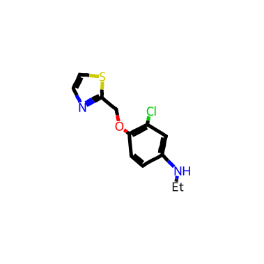 CCNc1ccc(OCc2nccs2)c(Cl)c1